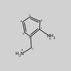 NCc1ccc[c]c1N